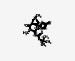 CN1CC2C(=O)N(C)/C(=N/C(=O)OC(C)(C)C)NC2(c2cc(Br)cs2)C1